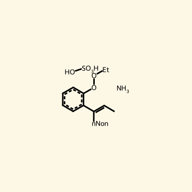 CC=C(CCCCCCCCC)c1ccccc1OOCC.N.O=S(=O)(O)O